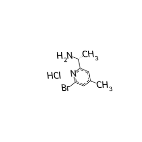 Cc1cc(Br)nc([C@@H](C)N)c1.Cl